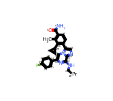 Cc1c(C(N)=O)ccc(-c2cnc3c(NCC(C)C)nc(-c4ccc(F)cc4)cn23)c1C1CC1